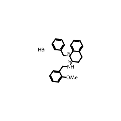 Br.COc1ccccc1CN[C@@H]1CCc2ccccc2[C@@H]1Cc1ccccc1